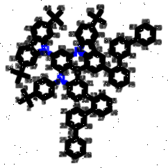 CC(C)(C)c1ccc(N2c3ccc(-c4ccccc4-c4cccc(-c5ccccc5)c4)cc3B3c4c2cc(-n2c5cc(C(C)(C)C)ccc5c5ccc(C(C)(C)C)cc52)cc4-n2c4ccc(C(C)(C)C)cc4c4cc(-c5ccccc5-c5cccc(-c6ccccc6)c5)cc3c42)cc1